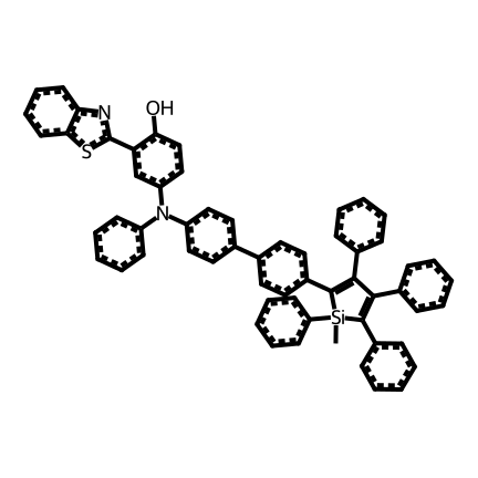 C[Si]1(c2ccccc2)C(c2ccccc2)=C(c2ccccc2)C(c2ccccc2)=C1c1ccc(-c2ccc(N(c3ccccc3)c3ccc(O)c(-c4nc5ccccc5s4)c3)cc2)cc1